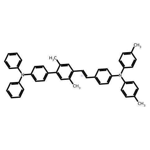 Cc1ccc(N(c2ccc(C)cc2)c2ccc(/C=C/c3cc(C)c(-c4ccc(N(c5ccccc5)c5ccccc5)cc4)cc3C)cc2)cc1